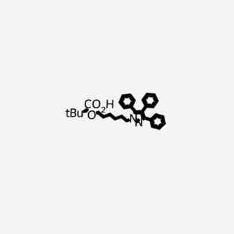 CC(C)(C)C(OCCCCCCn1nc(-c2ccccc2)c(-c2ccccc2)c1-c1ccccc1)C(=O)O